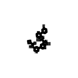 O=C(Nc1cncc(-c2cnc3[nH]nc(-c4nc5c(-c6cccc(F)c6)nccc5[nH]4)c3c2)c1)C1CCC1